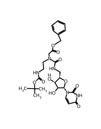 CC(C)(C)OC(=O)NCCN(CC(=O)OCc1ccccc1)C(=O)NC[C@H]1O[C@@H](n2ccc(=O)[nH]c2=O)C(O)[C@H]1O